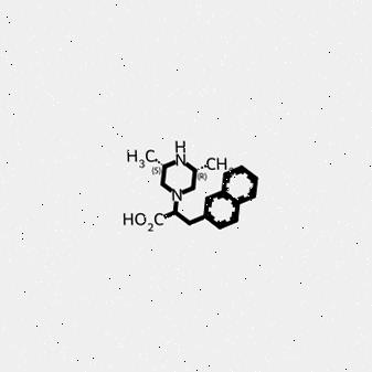 C[C@@H]1CN(C(Cc2ccc3ccccc3c2)C(=O)O)C[C@H](C)N1